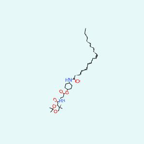 CCCCCCCC/C=C\CCCCCCCC(=O)NC1CCC(OC(=O)CCNC(=O)C2OC(C)(C)OCC2(C)C)CC1